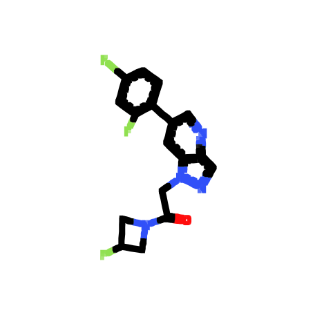 O=C(Cn1ncc2ncc(-c3ccc(F)cc3F)cc21)N1CC(F)C1